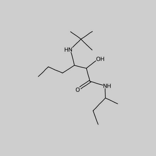 CCCC(NC(C)(C)C)C(O)C(=O)NC(C)CC